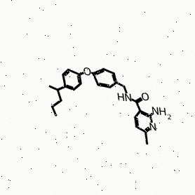 CCCC(C)c1ccc(Oc2ccc(CNC(=O)c3ccc(C)nc3N)cc2)cc1